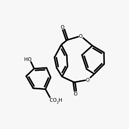 O=C(O)c1ccc(O)cc1.O=C1Oc2ccc(cc2)OC(=O)c2ccc1cc2